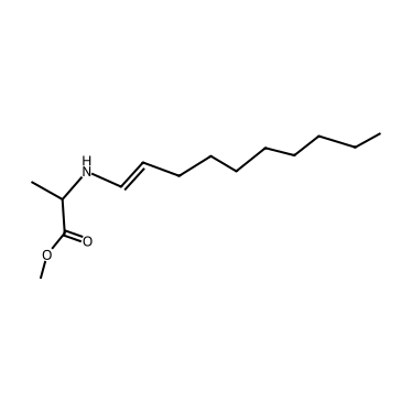 CCCCCCCCC=CNC(C)C(=O)OC